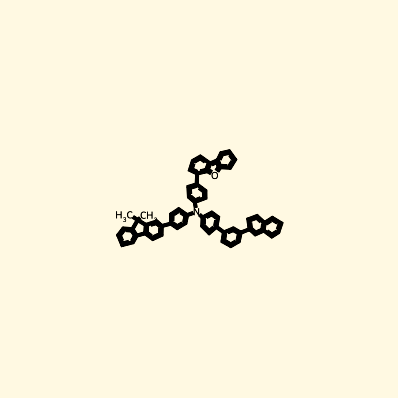 CC1(C)c2ccccc2-c2ccc(-c3ccc(N(c4ccc(-c5cccc(-c6ccc7ccccc7c6)c5)cc4)c4ccc(-c5cccc6c5oc5ccccc56)cc4)cc3)cc21